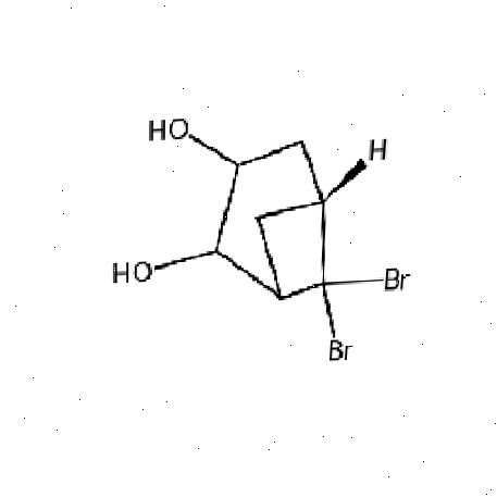 OC1C[C@H]2CC(C1O)C2(Br)Br